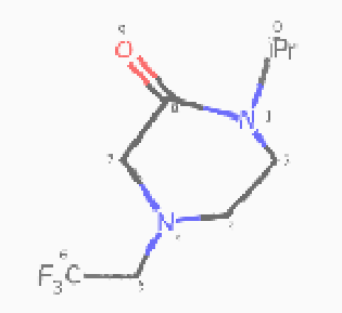 CC(C)N1CCN(CC(F)(F)F)CC1=O